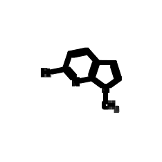 CCc1ccc2ccn(C)c2n1